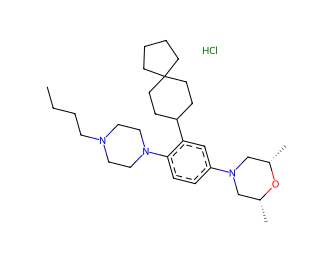 CCCCN1CCN(c2ccc(N3C[C@@H](C)O[C@@H](C)C3)cc2C2CCC3(CCCC3)CC2)CC1.Cl